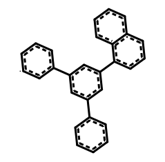 [c]1cccc(-c2cc(-c3ccccc3)cc(-c3cccc4ccccc34)c2)c1